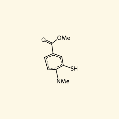 CNc1ccc(C(=O)OC)cc1S